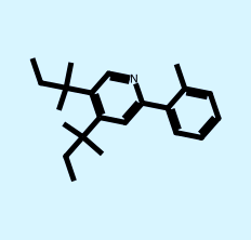 CCC(C)(C)c1cnc(-c2ccccc2C)cc1C(C)(C)CC